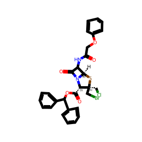 O=C(COc1ccccc1)NC1C(=O)N2[C@@H]1S[C@@](CCl)(CBr)[C@@H]2C(=O)OC(c1ccccc1)c1ccccc1